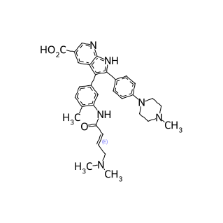 Cc1ccc(-c2c(-c3ccc(N4CCN(C)CC4)cc3)[nH]c3ncc(C(=O)O)cc23)cc1NC(=O)/C=C/CN(C)C